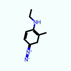 CCNC1=C(C)CC(=[N+]=[N-])C=C1